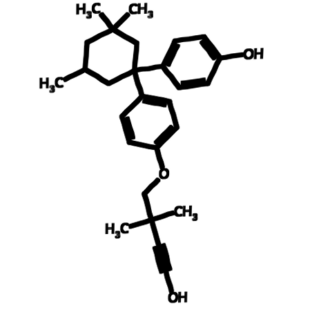 CC1CC(C)(C)CC(c2ccc(O)cc2)(c2ccc(OCC(C)(C)C#CO)cc2)C1